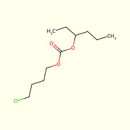 CCCC(CC)OC(=O)OCCCCCl